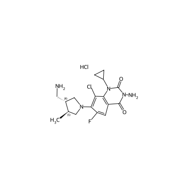 C[C@@H]1CN(c2c(F)cc3c(=O)n(N)c(=O)n(C4CC4)c3c2Cl)C[C@H]1CN.Cl